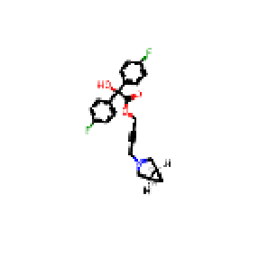 O=C(OCC#CCN1C[C@H]2C[C@H]2C1)C(O)(c1ccc(F)cc1)c1ccc(F)cc1